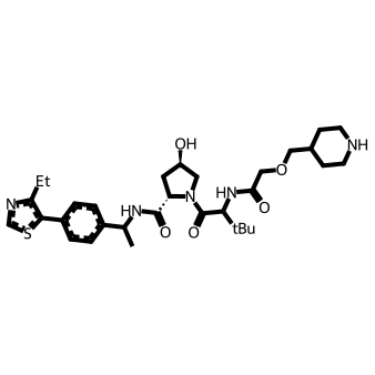 CCc1ncsc1-c1ccc(C(C)NC(=O)[C@@H]2C[C@@H](O)CN2C(=O)C(NC(=O)COCC2CCNCC2)C(C)(C)C)cc1